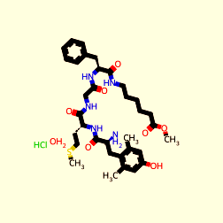 COC(=O)CCCCCNC(=O)[C@H](Cc1ccccc1)NC(=O)CNC(=O)[C@@H](CCSC)NC(=O)[C@@H](N)Cc1c(C)cc(O)cc1C.Cl.O